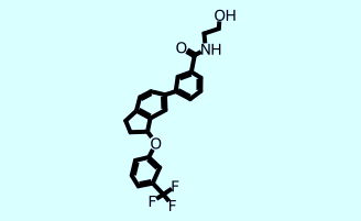 O=C(NCCO)c1cccc(-c2ccc3c(c2)C(Oc2cccc(C(F)(F)F)c2)CC3)c1